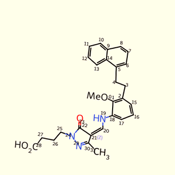 COc1c(CCc2cccc3ccccc23)cccc1N/C=C1\C(=O)N(CCCC(=O)O)N=C1C